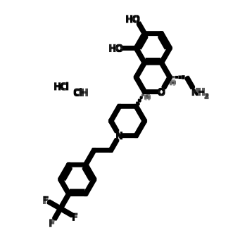 Cl.Cl.NC[C@@H]1O[C@H](C2CCN(CCc3ccc(C(F)(F)F)cc3)CC2)Cc2c1ccc(O)c2O